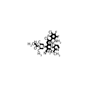 C=CC(=O)N1[C@H](C)CN(c2c(C#N)c(=O)n(C3C(C(C)C)=NC=C[C@H]3C)c3nc(-c4c(N)c(F)c(F)c(Cl)c4F)c(Cl)cc23)C[C@@H]1C